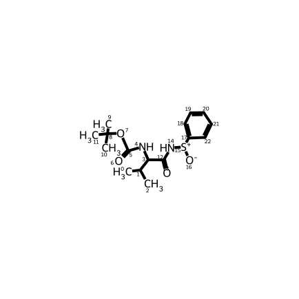 CC(C)C(NC(=O)OC(C)(C)C)C(=O)N[S+]([O-])c1ccccc1